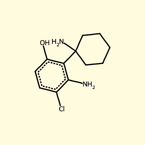 Nc1c(Cl)ccc(O)c1C1(N)CCCCC1